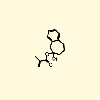 C=C(C)C(=O)OC1(CC)CCCc2ccccc2C1